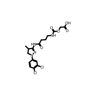 CC1CN(c2ccc(Cl)c(Cl)c2)N=C1NC(=O)CCCNC(=O)OCC(=O)O